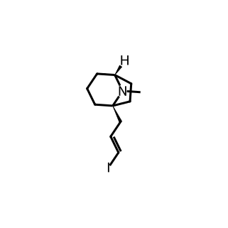 CN1[C@@H]2CCC[C@@]1(CC=CI)CC2